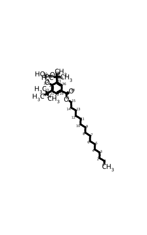 CCCCCCCCCCCCCCCCOC(=O)c1cc(C(C)(C)C)c(OP(O)O)c(C(C)(C)C)c1